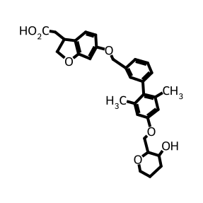 Cc1cc(OCC2OCCCC2O)cc(C)c1-c1cccc(COc2ccc3c(c2)OCC3CC(=O)O)c1